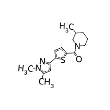 Cc1cc(-c2ccc(C(=O)N3CCCC(C)C3)s2)nn1C